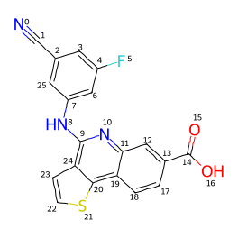 N#Cc1cc(F)cc(Nc2nc3cc(C(=O)O)ccc3c3sccc23)c1